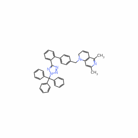 Cc1cc2c(c(C)n1)C=CCN2Cc1ccc(-c2ccccc2-c2nnn(C(c3ccccc3)(c3ccccc3)c3ccccc3)n2)cc1